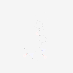 C=CC(=O)N1CCC(C(=O)N2CCc3ccc(Oc4ccc(C(F)(F)F)c(F)c4)cc3C2)C1